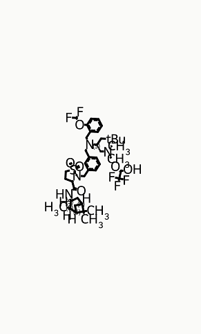 C[C@@H]1[C@@H](NC(=O)C2CCS(=O)(=O)N2Cc2cccc(CN(Cc3ccccc3OC(F)F)[C@H](CN(C)C)CC(C)(C)C)c2)C[C@H]2C[C@@H]1C2(C)C.O=C(O)C(F)(F)F